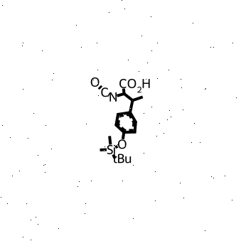 CC(c1ccc(O[Si](C)(C)C(C)(C)C)cc1)C(N=C=O)C(=O)O